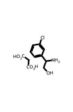 NC(CO)c1cccc(Cl)c1.O=C(O)CC(=O)O